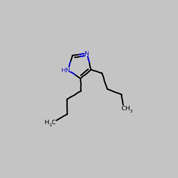 CCCCc1nc[nH]c1CCCC